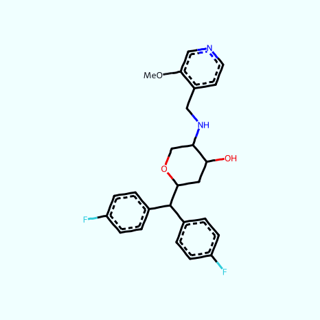 COc1cnccc1CNC1COC(C(c2ccc(F)cc2)c2ccc(F)cc2)CC1O